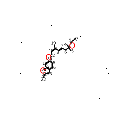 CCOC(C)(C)CC=CC(C)=CCOc1ccc2c(c1)OC(C)C2